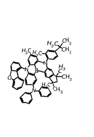 Cc1cc2c3c(c1)N(c1cccc4oc5ccccc5c14)c1ccc(N(c4ccccc4)c4ccccc4)cc1B3c1cc3c(cc1N2c1ccc(C(C)(C)C)cc1C)C(C)(C)CC3(C)C